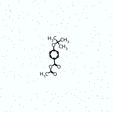 CC(=O)OC(=O)c1ccc(OC(C)(C)C)cc1